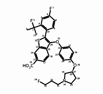 CC(F)(F)c1cc(F)ccc1-c1sc2cc(C(=O)O)ccc2c1Oc1ccc(O[C@H]2CCN(CCCF)C2)cc1